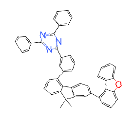 CC1(C)c2cc(-c3cccc4oc5ccccc5c34)ccc2-c2c(-c3cccc(-c4nc(-c5ccccc5)nc(-c5ccccc5)n4)c3)cccc21